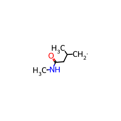 [CH2]C(C)CC(=O)NC